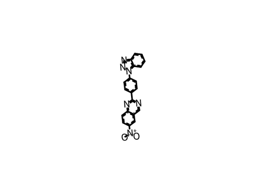 O=[N+]([O-])c1ccc2nc(-c3ccc(-n4nnc5ccccc54)cc3)ncc2c1